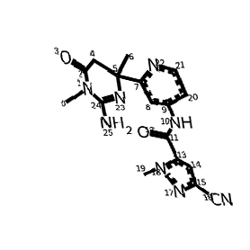 CN1C(=O)CC(C)(c2cc(NC(=O)c3cc(C#N)nn3C)ccn2)N=C1N